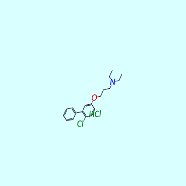 CCN(CC)CCCOc1ccc(Cl)c(-c2ccccc2)c1.Cl